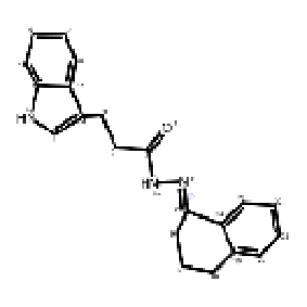 O=C(CCc1c[nH]c2ccccc12)N/N=C1\CCCc2ccccc21